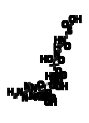 CC(C)(COP(=O)(O)OP(=O)(O)OC[C@H]1O[C@@H](n2cnc3c(N)ncnc32)[C@H](O)[C@@H]1OP(=O)(O)O)C(O)C(=O)NCCC(=O)NCCSC(=O)CO